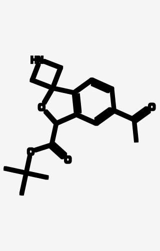 CC(=O)c1ccc2c(c1)C(C(=O)OC(C)(C)C)OC21CNC1